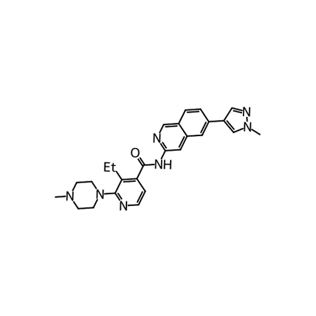 CCc1c(C(=O)Nc2cc3cc(-c4cnn(C)c4)ccc3cn2)ccnc1N1CCN(C)CC1